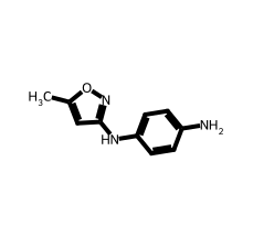 Cc1cc(Nc2ccc(N)cc2)no1